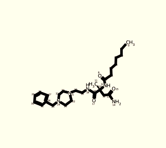 CCCCCCCC(=O)N[C@](C)(CC(N)=O)C(=O)NCCN1CCN(Cc2ccccc2)CC1